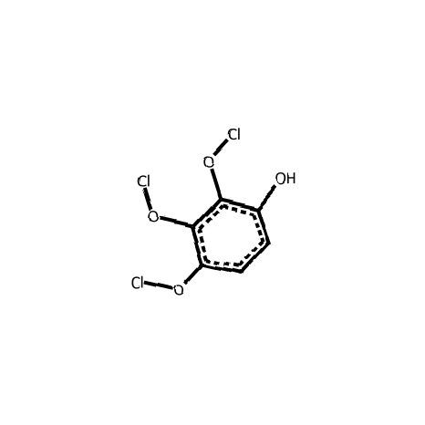 Oc1ccc(OCl)c(OCl)c1OCl